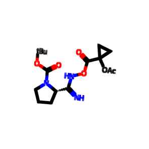 CC(=O)OC1(C(=O)ONC(=N)[C@@H]2CCCN2C(=O)OC(C)(C)C)CC1